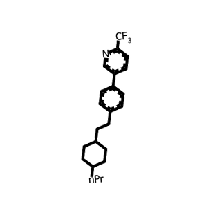 CCCC1CCC(CCc2ccc(-c3ccc(C(F)(F)F)nc3)cc2)CC1